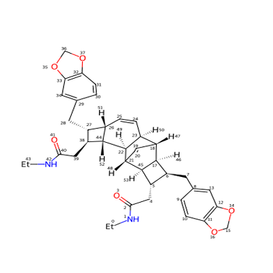 CCNC(=O)C[C@H]1[C@H](Cc2ccc3c(c2)OCO3)[C@@H]2[C@@H]3C=C[C@@H]([C@@H]4[C@H]3C=C[C@H]3[C@@H](Cc5ccc6c(c5)OCO6)[C@H](CC(=O)NCC)[C@H]34)[C@H]12